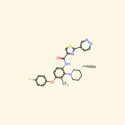 CNC[C@@H]1CCCN(c2c(NC(=O)c3csc(-c4ccnnc4)n3)ccc(Oc3ccc(F)cc3)c2C(F)(F)F)C1